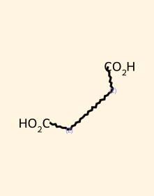 O=C(O)CCCCCCC/C=C\CCCCCCCCCCCCCCCCCCC/C=C\CCCCCCCC(=O)O